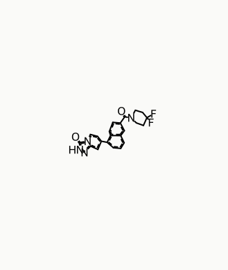 O=C(c1ccc2c(-c3ccn4c(=O)[nH]nc4c3)cccc2c1)N1CCC(F)(F)CC1